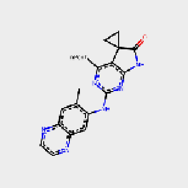 CCCCCc1nc(Nc2cc3nccnc3cc2C)nc2c1C1(CC1)C(=O)N2